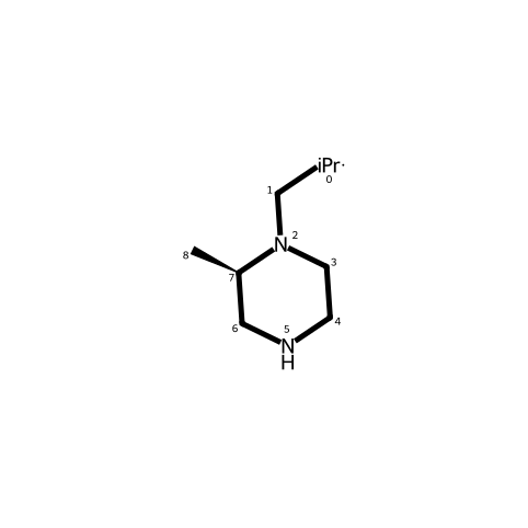 C[C](C)CN1CCNC[C@H]1C